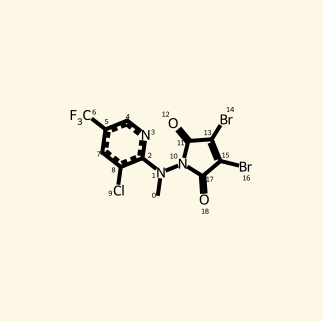 CN(c1ncc(C(F)(F)F)cc1Cl)N1C(=O)C(Br)=C(Br)C1=O